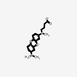 CN(C)c1ccc2nc3ccc(N(C)CCCC(=O)[O-])cc3[s+]c2c1